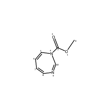 COC(=O)N1C=CC=CN=C1